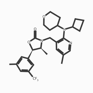 Cc1cc([C@H]2OC(=O)N(Cc3cc(C)cnc3N(C3CCC3)C3CCOCC3)[C@H]2C)cc(C(F)(F)F)c1